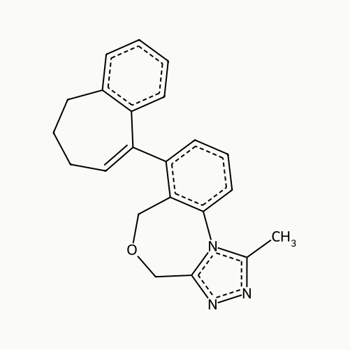 Cc1nnc2n1-c1cccc(C3=CCCCc4ccccc43)c1COC2